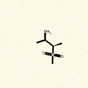 CC(N)[C@@H](C)S(C)(=O)=O